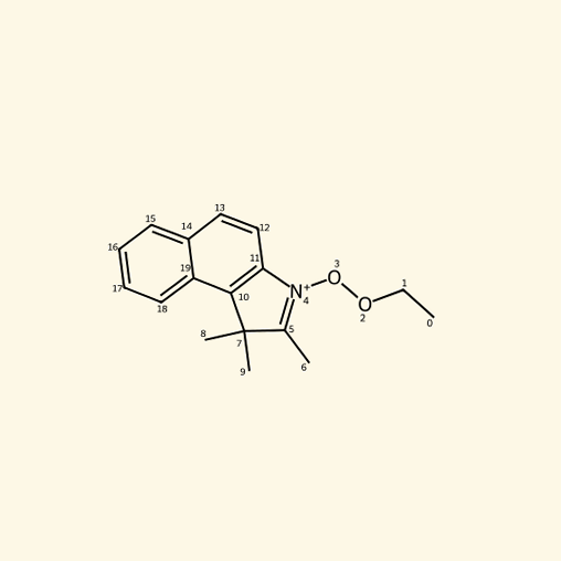 CCOO[N+]1=C(C)C(C)(C)c2c1ccc1ccccc21